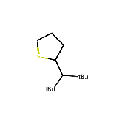 CC(C)(C)C(C1CCCS1)C(C)(C)C